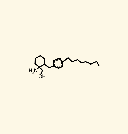 CCCCCCCCc1ccc(CC2CCCCC2(N)CO)cc1